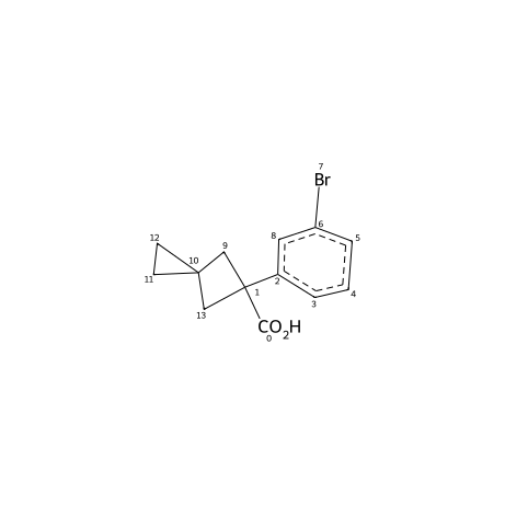 O=C(O)C1(c2cccc(Br)c2)CC2(CC2)C1